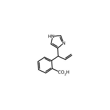 C=CC(c1c[nH]cn1)c1ccccc1C(=O)O